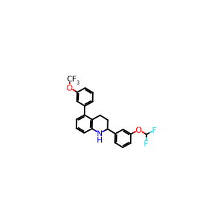 FC(F)Oc1cccc(C2CCc3c(cccc3-c3cccc(OC(F)(F)F)c3)N2)c1